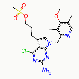 COc1c(C)cnc(Cn2cc(CCCOS(C)(=O)=O)c3c(Cl)nc(N)nc32)c1C